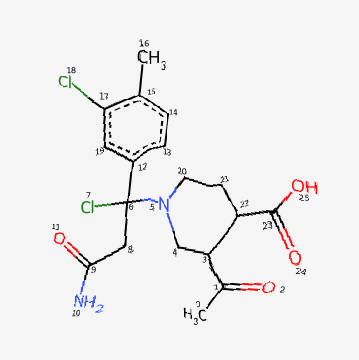 CC(=O)C1CN(C(Cl)(CC(N)=O)c2ccc(C)c(Cl)c2)CCC1C(=O)O